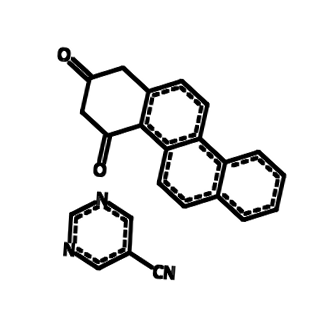 N#Cc1cncnc1.O=C1CC(=O)c2c(ccc3c2ccc2ccccc23)C1